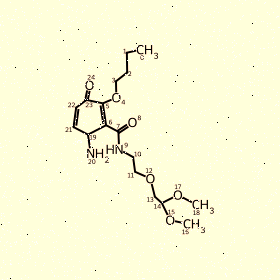 CCCCOC1=C(C(=O)NCCOCC(OC)OC)C(N)C=CC1=O